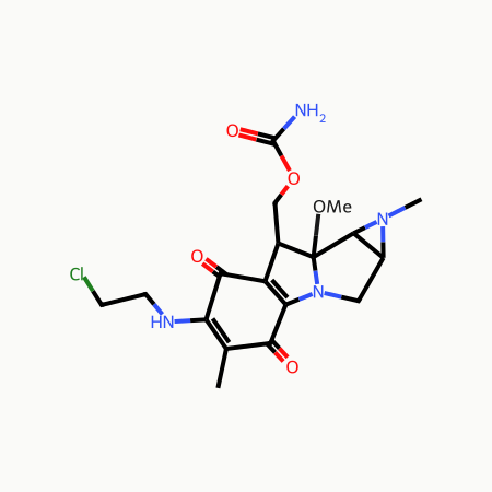 COC12C(COC(N)=O)C3=C(C(=O)C(C)=C(NCCCl)C3=O)N1CC1C2N1C